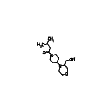 CC(C)CC(=O)N1CCC(N2CCOCC2CO)CC1